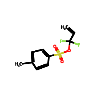 C=CC(F)(F)OS(=O)(=O)c1ccc(C)cc1